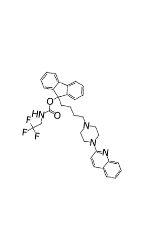 O=C(NCC(F)(F)F)OC1(CCCCN2CCN(c3ccc4ccccc4n3)CC2)c2ccccc2-c2ccccc21